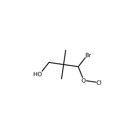 CC(C)(CO)C(Br)OCl